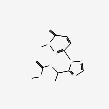 CC(NC(=O)OC(C)(C)C)c1ncnn1-c1ccc(=O)n(C)n1